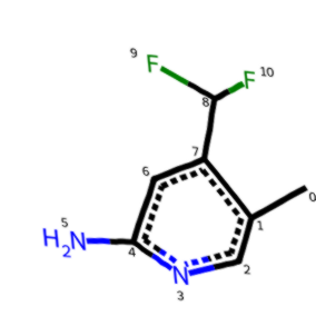 Cc1cnc(N)cc1C(F)F